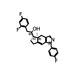 C[C@]12Cc3cnn(-c4ccc(F)cc4)c3C=C1CC[C@@H]2[C@H](O)Cc1ccc(F)cc1F